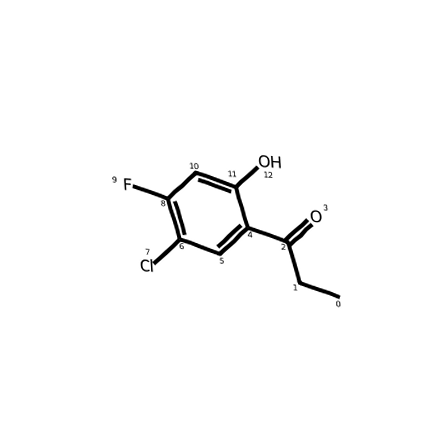 CCC(=O)c1cc(Cl)c(F)cc1O